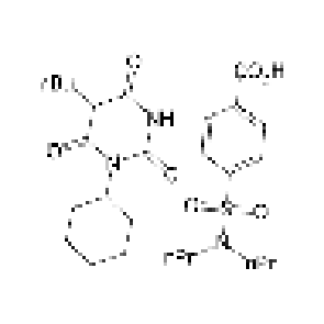 CCCCC1C(=O)NC(=O)N(C2CCCCC2)C1=O.CCCN(CCC)S(=O)(=O)c1ccc(C(=O)O)cc1